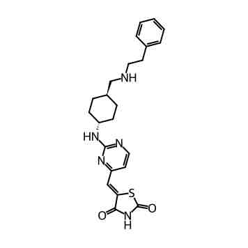 O=C1NC(=O)/C(=C/c2ccnc(N[C@H]3CC[C@H](CNCCc4ccccc4)CC3)n2)S1